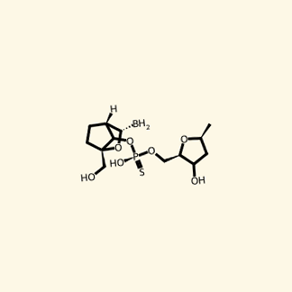 B[C@@H]1O[C@]2(CO)CC[C@H]1C2O[P@@](O)(=S)OC[C@H]1O[C@@H](C)CC1O